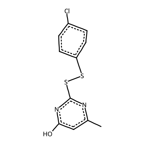 Cc1cc(O)nc(SSc2ccc(Cl)cc2)n1